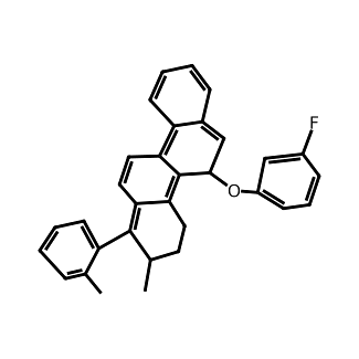 Cc1ccccc1C1=c2ccc3c(c2CCC1C)C(Oc1cccc(F)c1)C=c1ccccc1=3